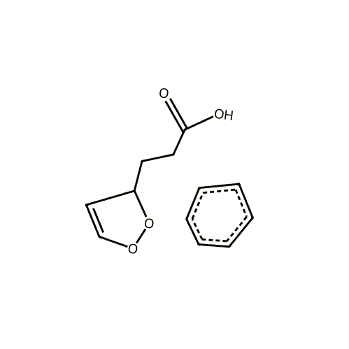 O=C(O)CCC1C=COO1.c1ccccc1